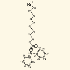 O=C(CCCCCCCCCCBr)OC(c1ccccc1)c1ccccc1